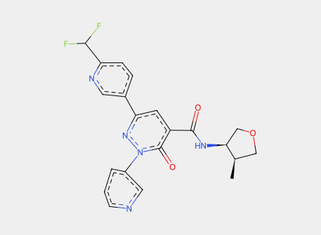 C[C@@H]1COC[C@@H]1NC(=O)c1cc(-c2ccc(C(F)F)nc2)nn(-c2cccnc2)c1=O